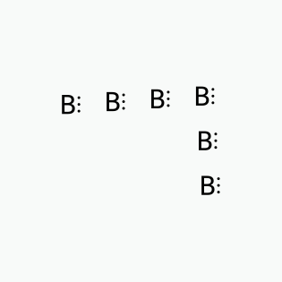 [B].[B].[B].[B].[B].[B]